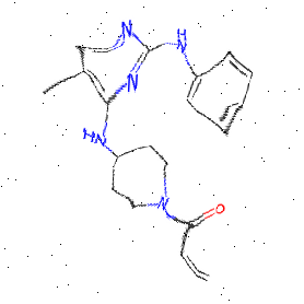 C=CC(=O)N1CCC(Nc2nc(Nc3ccccc3)ncc2C)CC1